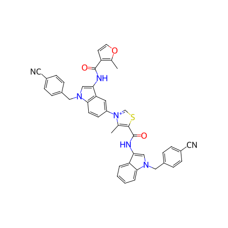 Cc1occc1C(=O)Nc1cn(Cc2ccc(C#N)cc2)c2ccc(-[n+]3csc(C(=O)Nc4cn(Cc5ccc(C#N)cc5)c5ccccc45)c3C)cc12